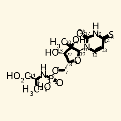 C[C@H](NP(=O)(O)OC[C@H]1O[C@@H](n2ccc(=S)[nH]c2=O)C(C)(O)[C@H]1O)C(=O)O